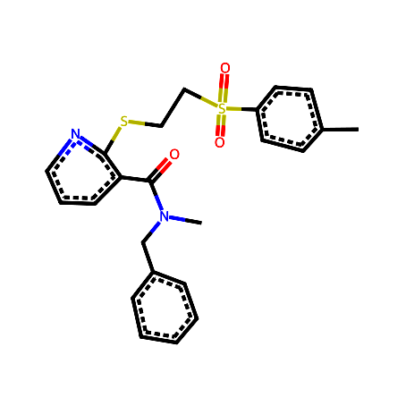 Cc1ccc(S(=O)(=O)CCSc2ncccc2C(=O)N(C)Cc2ccccc2)cc1